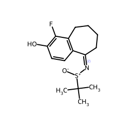 CC(C)(C)[S+]([O-])/N=C1/CCCCc2c1ccc(O)c2F